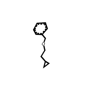 c1ccc(COCC[C]2CC2)cc1